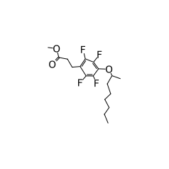 CCCCCCC(C)Oc1c(F)c(F)c(CCC(=O)OC)c(F)c1F